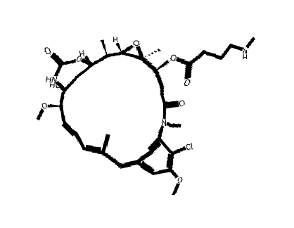 CNCCCC(=O)O[C@H]1CC(=O)N(C)c2cc(cc(OC)c2Cl)C/C(C)=C/C=C/[C@@H](OC)[C@@]2(O)C[C@H](OC(=O)N2)[C@@H](C)[C@@H]2O[C@@]12C